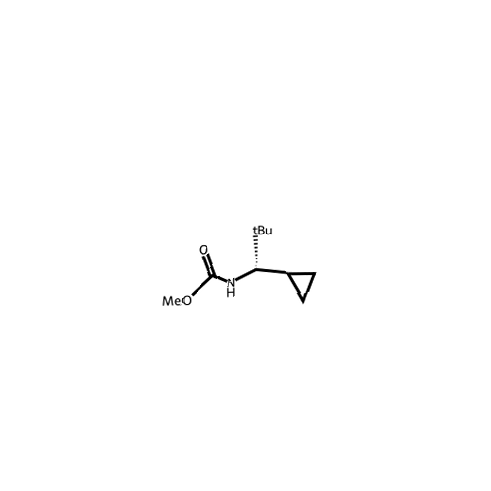 COC(=O)N[C@@H](C1CC1)C(C)(C)C